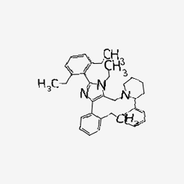 CCc1ccccc1-c1nc(-c2c(CC)cccc2CC)n(CC)c1CN1CCCCC1c1ccccc1